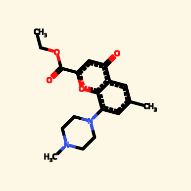 CCOC(=O)c1cc(=O)c2cc(C)cc(N3CCN(C)CC3)c2o1